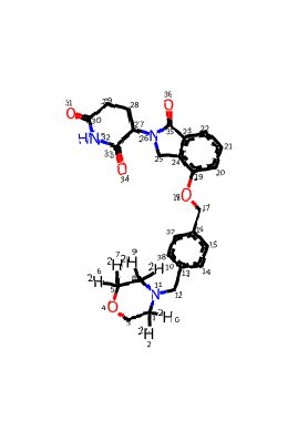 [2H]C1([2H])COC([2H])([2H])C([2H])([2H])N1Cc1ccc(COc2cccc3c2CN(C2CCC(=O)NC2=O)C3=O)cc1